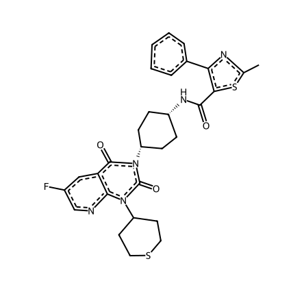 Cc1nc(-c2ccccc2)c(C(=O)N[C@H]2CC[C@@H](n3c(=O)c4cc(F)cnc4n(C4CCSCC4)c3=O)CC2)s1